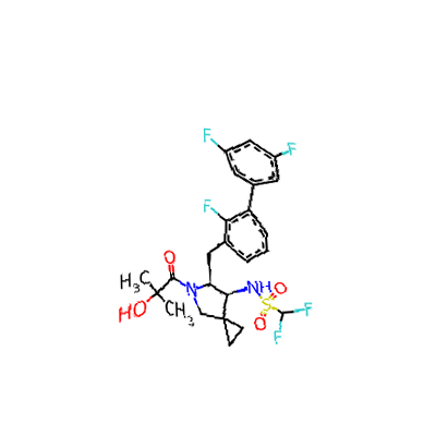 CC(C)(O)C(=O)N1CC2(CC2)[C@H](NS(=O)(=O)C(F)F)[C@@H]1Cc1cccc(-c2cc(F)cc(F)c2)c1F